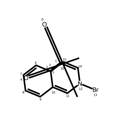 O=C1CC(=O)C23C=CC=CC2=CN(Br)C=C3C1